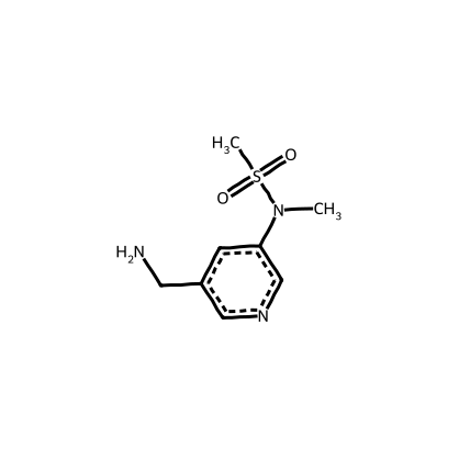 CN(c1cncc(CN)c1)S(C)(=O)=O